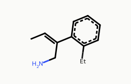 C/C=C(\CN)c1ccccc1CC